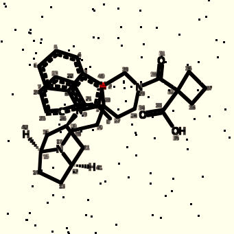 Cc1nc2ccccc2n1[C@H]1C[C@H]2CC[C@@H](C1)N2CCC1(c2ccccc2)CCN(C(=O)C2(C(=O)O)CCC2)CC1